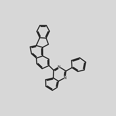 c1ccc(-c2nc(-c3ccc4ccc5c(c4c3)Cc3ccccc3-5)c3ccccc3n2)cc1